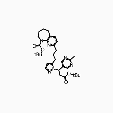 Cc1ncc(C(CC(=O)OC(C)(C)C)n2nccc2CCCc2ccc3c(n2)N(C(=O)OC(C)(C)C)CCCC3)cn1